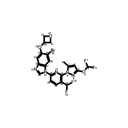 Cc1cc(OC(F)F)nn1-c1nc(-n2cnc3cc(OC4COC4)c(Br)cc32)ccc1C(F)F